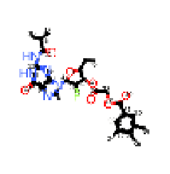 CCC1OC(n2cnc3c(=O)[nH]c(NC(=O)C(C)C)nc32)C(F)C1OC(=O)COC(=O)c1cc(C)c(C)c(C)c1